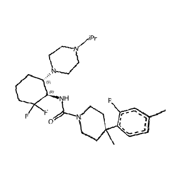 Cc1ccc(C2(C)CCN(C(=O)N[C@@H]3[C@@H](N4CCN(C(C)C)CC4)CCCC3(F)F)CC2)c(F)c1